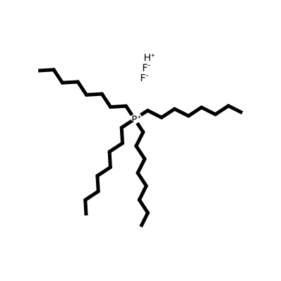 CCCCCCCC[P+](CCCCCCCC)(CCCCCCCC)CCCCCCCC.[F-].[F-].[H+]